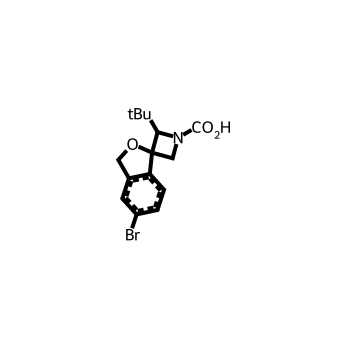 CC(C)(C)C1N(C(=O)O)CC12OCc1cc(Br)ccc12